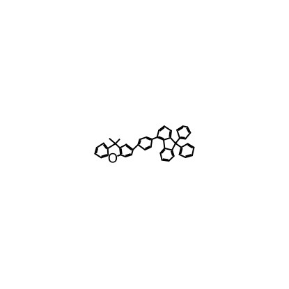 CC1(C)c2ccccc2Oc2ccc(-c3ccc(-c4cccc5c4-c4ccccc4C5(c4ccccc4)c4ccccc4)cc3)cc21